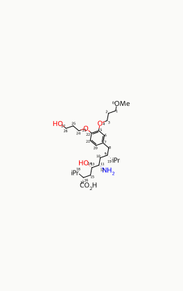 COCCCOc1cc(C[C@@H](C[C@H](N)[C@@H](O)C[C@H](C(=O)O)C(C)C)C(C)C)ccc1OCCCO